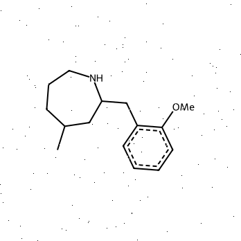 COc1ccccc1CC1CC(C)CCCN1